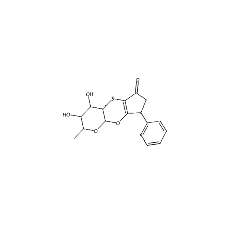 CC1OC2OC3=C(SC2C(O)C1O)C(=O)CC3c1ccccc1